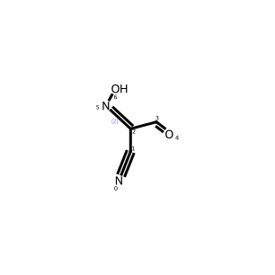 N#C/C(C=O)=N/O